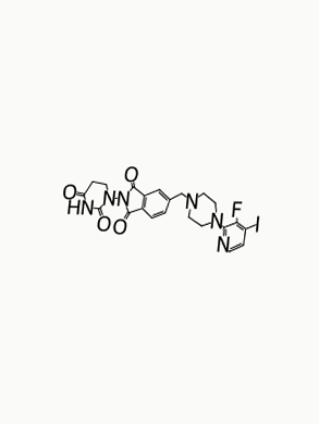 O=C1CCN(N2C(=O)c3ccc(CN4CCN(c5nccc(I)c5F)CC4)cc3C2=O)C(=O)N1